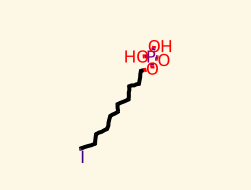 O=P(O)(O)OCCCCCCCCCCCI